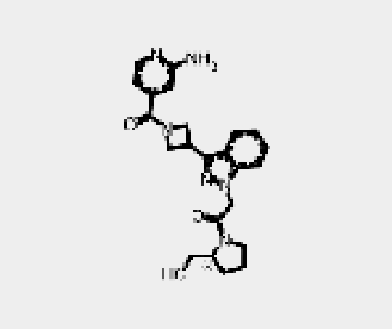 Nc1cc(C(=O)N2CC(c3nn(CC(=O)N4CCC[C@H]4CO)c4ccccc34)C2)ccn1